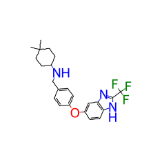 CC1(C)CCC(NCc2ccc(Oc3ccc4[nH]c(C(F)(F)F)nc4c3)cc2)CC1